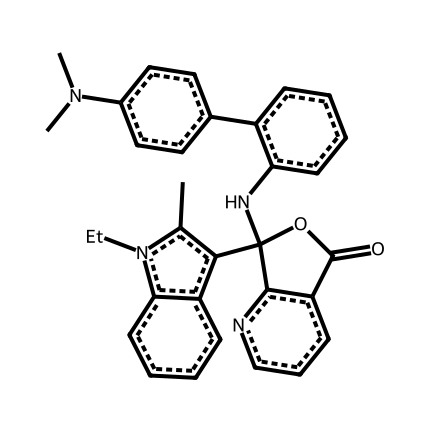 CCn1c(C)c(C2(Nc3ccccc3-c3ccc(N(C)C)cc3)OC(=O)c3cccnc32)c2ccccc21